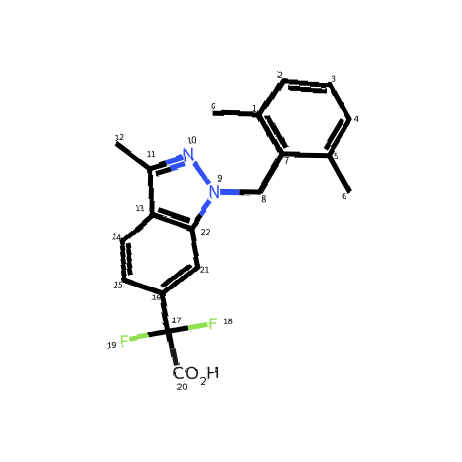 Cc1cccc(C)c1Cn1nc(C)c2ccc(C(F)(F)C(=O)O)cc21